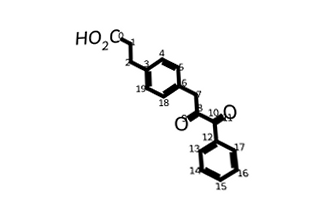 O=C(O)CCc1ccc(CC(=O)C(=O)c2ccccc2)cc1